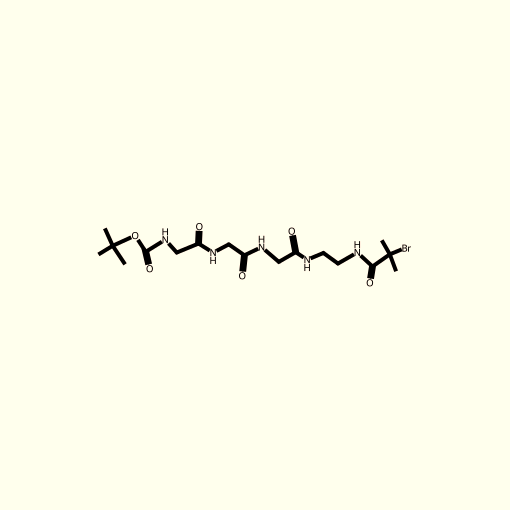 CC(C)(C)OC(=O)NCC(=O)NCC(=O)NCC(=O)NCCNC(=O)C(C)(C)Br